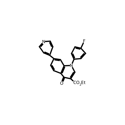 CCOC(=O)c1cn(-c2ccc(F)cc2)c2cc(-c3ccncc3)ccc2c1=O